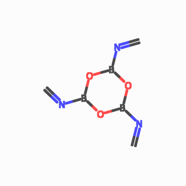 C=NB1OB(N=C)OB(N=C)O1